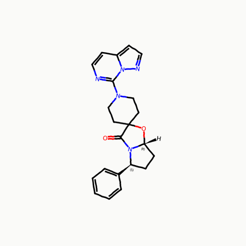 O=C1N2[C@@H](CC[C@H]2c2ccccc2)OC12CCN(c1nccc3ccnn13)CC2